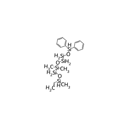 C=C[SiH](C)O[SiH2][Si](C)(C)O[SiH2][SiH2]O[SiH](c1ccccc1)c1ccccc1